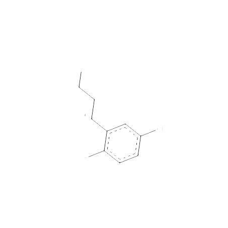 O[C@H](CCCl)c1cc(Cl)ccc1F